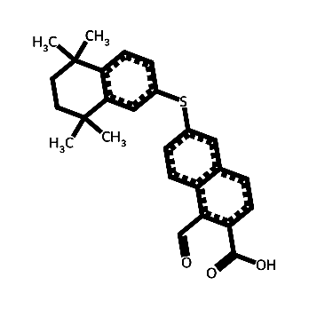 CC1(C)CCC(C)(C)c2cc(Sc3ccc4c(C=O)c(C(=O)O)ccc4c3)ccc21